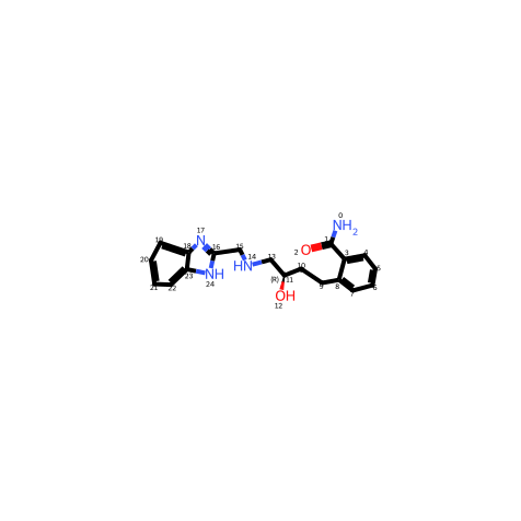 NC(=O)c1ccccc1C[CH][C@@H](O)CNCc1nc2ccccc2[nH]1